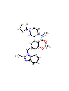 COc1cc(Cn2c(C)nc3ccccc32)ccc1C(=O)N(C)C1CCN(C2CCCC2)CC1